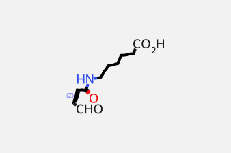 O=C/C=C\C(=O)NCCCCCC(=O)O